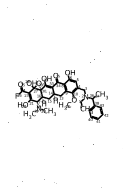 CCN(Cc1cc(O)c2c(c1OC)C[C@H]1C[C@H]3[C@H](N(C)C)C(O)=C(C(=O)F)C4(O)O[C@]34C(O)=C1C2=O)C(C)c1ccccc1